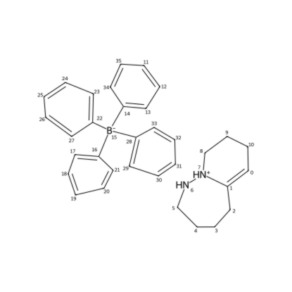 C1=C2CCCCN[NH+]2CCC1.c1ccc([B-](c2ccccc2)(c2ccccc2)c2ccccc2)cc1